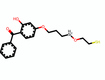 O=C(c1ccccc1)c1ccc(OCCC[SiH2]OCCS)cc1O